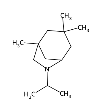 CC(C)N1CC2(C)CC1CC(C)(C)C2